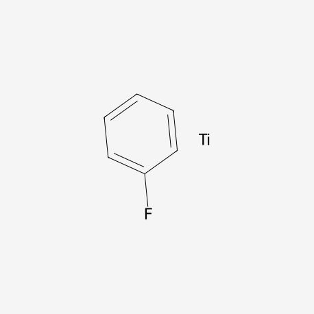 Fc1ccccc1.[Ti]